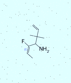 C=CC(C)(C)C(N)/C(F)=C\C